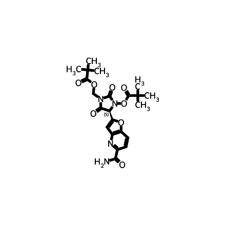 CC(C)(C)C(=O)OCN1C(=O)[C@H](c2cc3nc(C(N)=O)ccc3o2)N(OC(=O)C(C)(C)C)C1=O